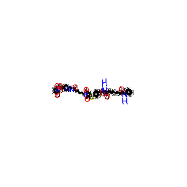 O=C(CCCCCN1C(=O)CC(Sc2ccc(CONC(=O)CCCCCCC(=O)Nc3ccccc3)cc2)C1=O)NCC1CCC(C(=O)ON2C(=O)CCC2=O)CC1